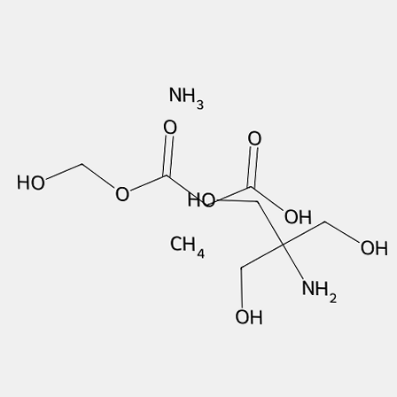 C.N.NC(CO)(CO)CO.O=C(O)CC(=O)OCO